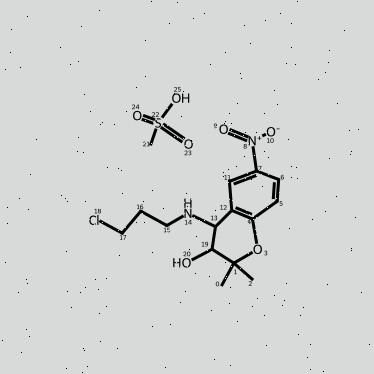 CC1(C)Oc2ccc([N+](=O)[O-])cc2C(NCCCCl)C1O.CS(=O)(=O)O